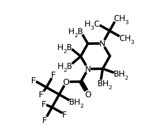 BC1N(C(C)(C)C)CC(B)(B)N(C(=O)OC(B)(C(F)(F)F)C(F)(F)F)C1(B)B